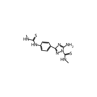 CNC(=S)Nc1ccc(-c2nc(N)n(C(=S)NC)n2)cc1